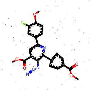 COC(=O)c1ccc(-c2nc(-c3ccc(OC)c(F)c3)cc(C(=O)OC)c2N=[N+]=[N-])cc1